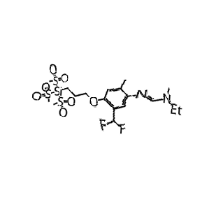 CCN(C)C=Nc1cc(C(F)F)c(OCCC[Si](S(C)(=O)=O)(S(C)(=O)=O)S(C)(=O)=O)cc1C